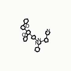 c1ccc(-c2cc(-c3cccc(-c4ccncc4)c3)nc(-c3ccc(-c4ccc(-c5cccc6c5oc5ccccc56)c5oc6ccccc6c45)cc3)n2)cc1